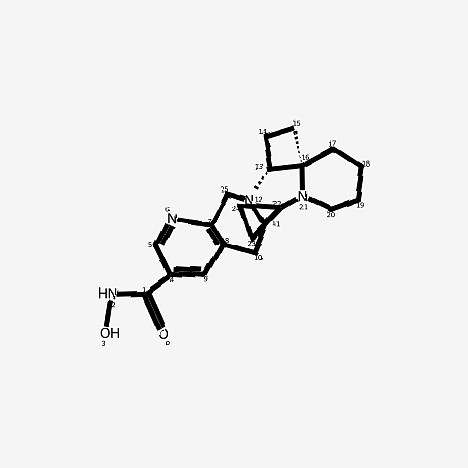 O=C(NO)c1cnc2c(c1)CCN([C@@H]1CC[C@@]13CCCCN3C1CC1)C2